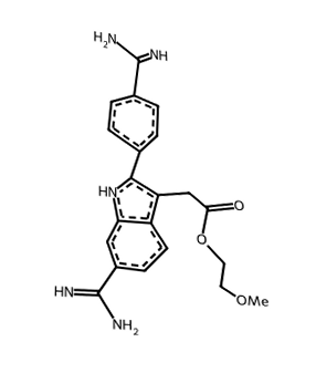 COCCOC(=O)Cc1c(-c2ccc(C(=N)N)cc2)[nH]c2cc(C(=N)N)ccc12